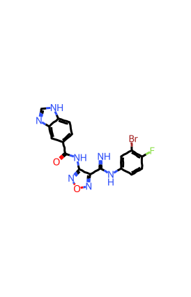 N=C(Nc1ccc(F)c(Br)c1)c1nonc1NC(=O)c1ccc2[nH]cnc2c1